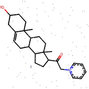 CC12CCC(O)CC1=CCC1C2CCC2(C)C(C(=O)C[n+]3ccccc3)CCC12.[I-]